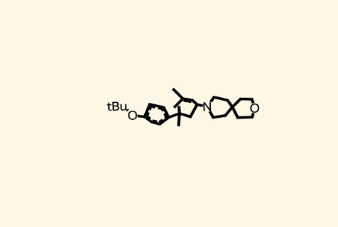 CC(C)=CC(CC(C)(C)c1ccc(OC(C)(C)C)cc1)N1CCC2(CCOCC2)CC1